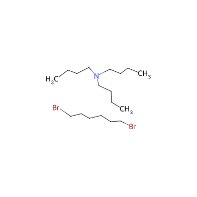 BrCCCCCCBr.CCCCN(CCCC)CCCC